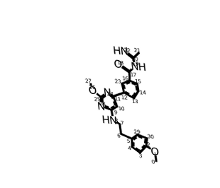 COc1ccc(CCNc2cc(-c3cccc(C(=O)NC(C)=N)c3)nc(OC)n2)cc1